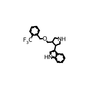 FC(F)(F)c1ccccc1COCC1CNCC1c1c[nH]c2ccccc12